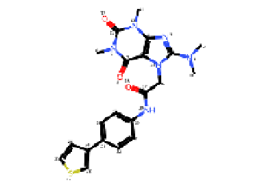 CN(C)c1nc2c(c(=O)n(C)c(=O)n2C)n1CC(=O)Nc1ccc(-c2ccsc2)cc1